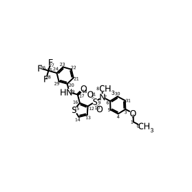 CCOc1ccc(N(C)S(=O)(=O)c2ccsc2C(=O)Nc2cccc(C(F)(F)F)c2)cc1